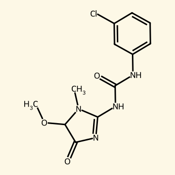 COC1C(=O)N=C(NC(=O)Nc2cccc(Cl)c2)N1C